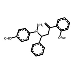 C=C(CC(c1ccccc1)N(N)c1ccc(C=O)cc1)c1ccccc1OC